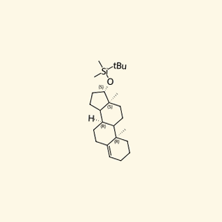 CC(C)(C)[Si](C)(C)O[C@H]1CCC2[C@@H]3CCC4=CCCC[C@]4(C)C3CC[C@@]21C